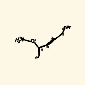 CCCCCCC(C)ON